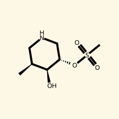 C[C@H]1CNC[C@H](OS(C)(=O)=O)[C@H]1O